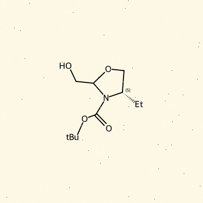 CC[C@H]1COC(CO)N1C(=O)OC(C)(C)C